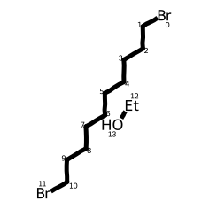 BrCCCCCCCCCCBr.CCO